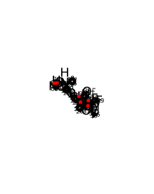 O=C(N[C@@H](c1ccccc1)c1cccc(OCc2ccc(C(=O)N3CCCC[C@@]3(C(=O)O)[C@@H](Cc3c(Cl)c[n+]([O-])cc3Cl)c3ccc(OC(F)F)c(OCC4CC4)c3)cc2)c1)O[C@H]1CN2CCC1CC2